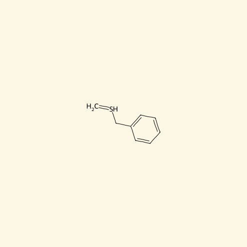 C=[SH]Cc1ccccc1